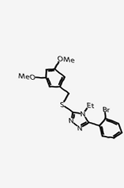 CCn1c(SCc2cc(OC)cc(OC)c2)nnc1-c1ccccc1Br